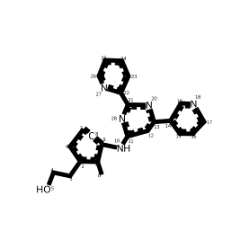 Cc1c(CCO)cccc1Nc1cc(-c2cccnc2)nc(-c2ccccn2)n1